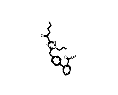 CCCCC(=O)c1nc(Cc2ccc(-c3ncccc3C(=O)O)cc2)n(CCC)n1